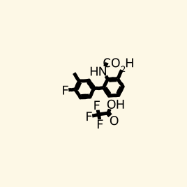 Cc1cc(-c2cccc(C)c2NC(=O)O)ccc1F.O=C(O)C(F)(F)F